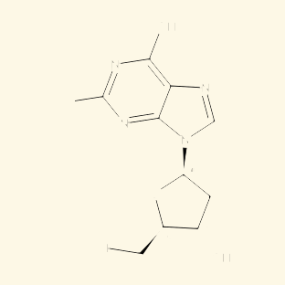 Oc1nc(O)c2ncn([C@H]3C[C@H](O)[C@@H](CI)O3)c2n1